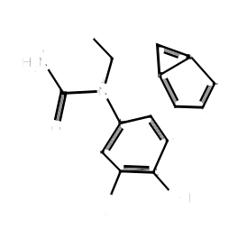 CCN(C(N)=O)c1ccc(O)c(F)c1.c1cc2cc-2c1